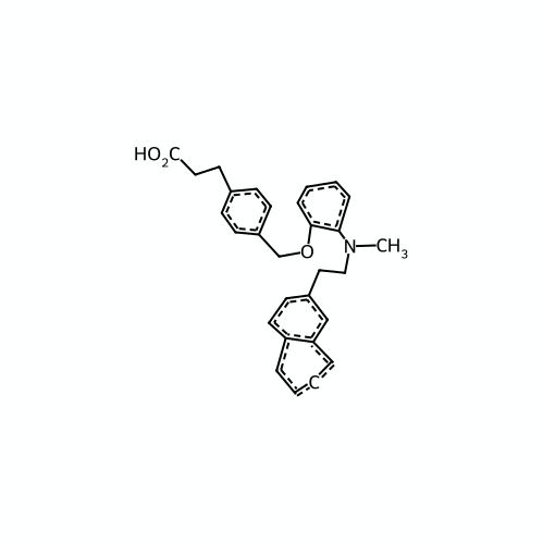 CN(CCc1ccc2ccccc2c1)c1ccccc1OCc1ccc(CCC(=O)O)cc1